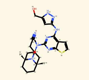 CN(c1nc(Nc2cc(CO)[nH]n2)c2ccsc2n1)[C@@H]1C[C@H]2CCC[C@@H](C1)N2CCC#N